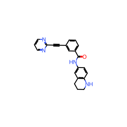 O=C(Nc1ccc2c(c1)CCCN2)c1cccc(C#Cc2ncccn2)c1